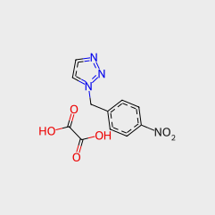 O=C(O)C(=O)O.O=[N+]([O-])c1ccc(Cn2ccnn2)cc1